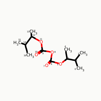 CC(C)C(C)OC(=O)OC(=O)OC(C)C(C)C